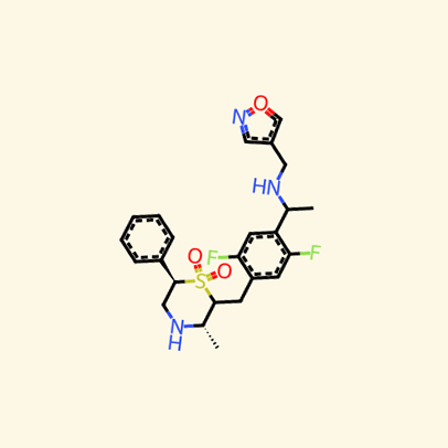 CC(NCc1cnoc1)c1cc(F)c(CC2[C@H](C)NC[C@@H](c3ccccc3)S2(=O)=O)cc1F